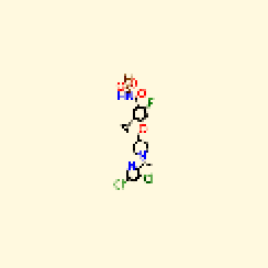 CC(c1ncc(Cl)cc1Cl)N1CCC(COc2cc(F)c(C(=O)N[SH](=O)=O)cc2C2CC2)CC1